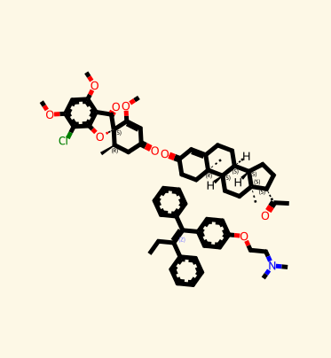 CC(=O)[C@H]1CC[C@H]2[C@@H]3CCC4=CC(=O)CC[C@]4(C)[C@H]3CC[C@]12C.CC/C(=C(\c1ccccc1)c1ccc(OCCN(C)C)cc1)c1ccccc1.COC1=CC(=O)C[C@@H](C)[C@]12Oc1c(Cl)c(OC)cc(OC)c1C2=O